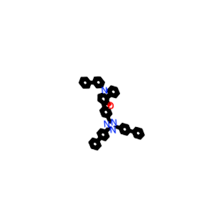 c1ccc(-c2ccc(-c3nc(-c4ccc(-c5ccccc5)cc4)nc(-c4ccc5c(c4)oc4c5ccc5c4c4ccccc4n5-c4cccc(-c5ccccc5)c4)n3)cc2)cc1